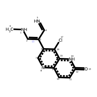 CN/C=C(\C=N)c1cnc2ccc(=O)[nH]c2c1Cl